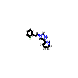 Fc1ccccc1CCn1cnc(-c2ccccn2)c1